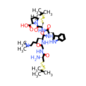 CN(C)CCCC[C@H](NC(=O)CNC(=O)[C@@H](N)CSSC(C)(C)C)C(=O)N[C@@H](Cc1c[nH]c2ccccc12)C(=O)N[C@@H](CSSC(C)(C)C)C(=O)N1CCC[C@H]1C(=O)O